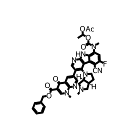 CC(=O)OC(C)OC(=O)N(C)c1cc(F)c(C#N)c2c1[nH]c1ncc(-c3cnc4c(c3)c(=O)c(C(=O)OCc3ccccc3)cn4C)c(N3CC[C@H]4CN(C)C[C@H]43)c12